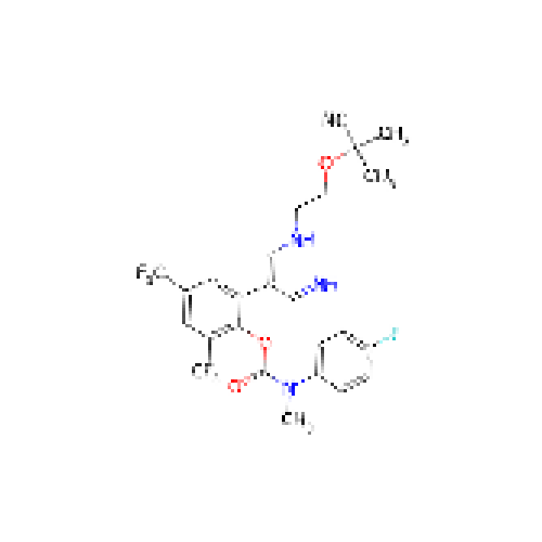 CN(C(=O)Oc1c(/C(C=N)=C/NCCOC(C)(C)C#N)cc(C(F)(F)F)cc1C(F)(F)F)c1ccc(F)cc1